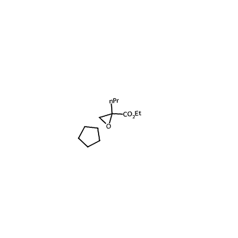 C1CCCC1.CCCC1(C(=O)OCC)CO1